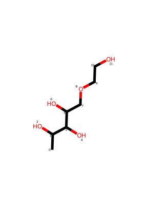 CC(O)C(O)C(O)COCCO